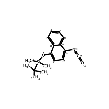 CC(C)(C)[Si](C)(C)Oc1ccc(N=C=O)c2ccccc12